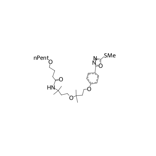 CCCCCOCCCC(=O)NC(C)(C)CCOC(C)(C)CCOc1ccc(-c2nnc(SC)o2)cc1